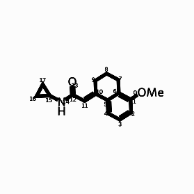 COc1cccc2c1CCCC2=CC(=O)NC1CC1